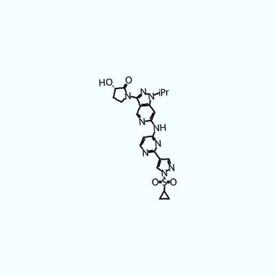 CC(C)n1nc(N2CC[C@H](O)C2=O)c2cnc(Nc3ccnc(-c4cnn(S(=O)(=O)C5CC5)c4)n3)cc21